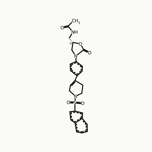 CC(=O)NC[C@H]1CN(c2ccc(C3=CCN(S(=O)(=O)c4ccc5ccccc5c4)CC3)cc2)C(=O)O1